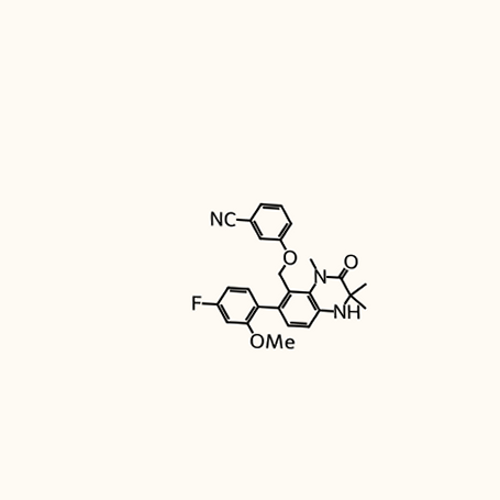 COc1cc(F)ccc1-c1ccc2c(c1COc1cccc(C#N)c1)N(C)C(=O)C(C)(C)N2